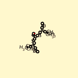 CC(C)(C)c1ccc(N(c2ccc3c(c2)oc2ccccc23)c2ccc3c(c2)sc2cc4c(cc23)-c2cc3sc5cc(N(c6ccc(C(C)(C)C)cc6)c6ccc7c(c6)oc6ccccc67)ccc5c3cc2C42C3CC4CC(C3)CC2C4)cc1